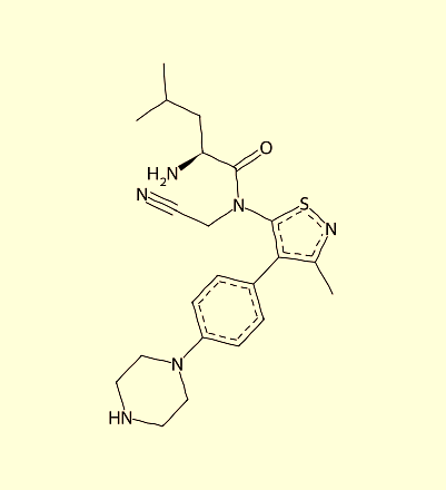 Cc1nsc(N(CC#N)C(=O)[C@@H](N)CC(C)C)c1-c1ccc(N2CCNCC2)cc1